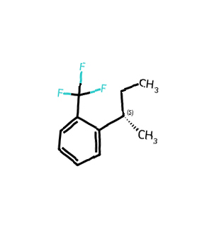 CC[C@H](C)c1ccccc1C(F)(F)F